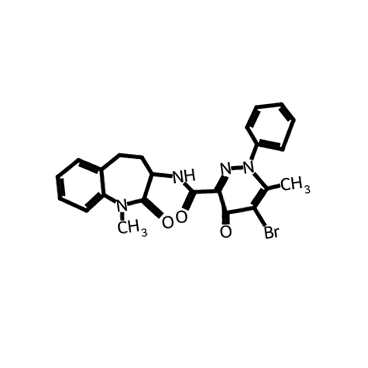 Cc1c(Br)c(=O)c(C(=O)NC2CCc3ccccc3N(C)C2=O)nn1-c1ccccc1